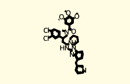 COc1cc(C(=O)N(C)CC(CC(Nc2nc3c(Cc4cccnc4)cccc3[nH]2)N2CCCCC2)c2ccc(Cl)c(Cl)c2)cc(OC)c1OC